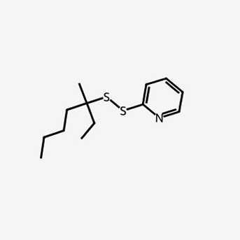 CCCCC(C)(CC)SSc1ccccn1